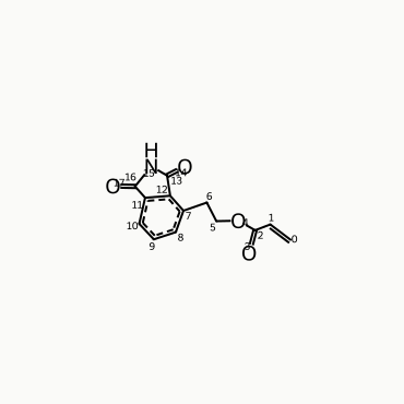 C=CC(=O)OCCc1cccc2c1C(=O)NC2=O